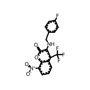 O=c1oc2c([N+](=O)[O-])cccc2c(C(F)(F)F)c1NCc1ccc(F)cc1